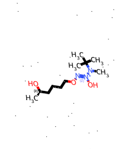 C[C@@H](O)CCCCO/N=[N+](\O)N(C)C(C)(C)C